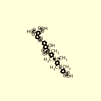 COc1cc(N=Nc2ccc(S(=O)(=O)O)cc2C)c(C)cc1N=Nc1cc(C)c(N=Nc2c(S(=O)(=O)O)cc3cc(-n4nc5ccc6c(S(=O)(=O)O)cc(S(=O)(=O)O)cc6c5n4)ccc3c2O)cc1C